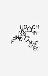 CCN1CCN(c2ccc(-n3c(C(=O)NCCF)nnc3-c3cc(C(C)C)c(O)cc3O)cc2)CC1F